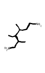 CC(CN)C(C)C(C)CCN